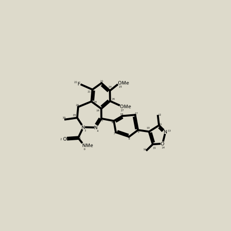 CNC(=O)N1N=C(c2ccc(-c3c(C)noc3C)cc2)c2c(c(F)cc(OC)c2OC)CC1C